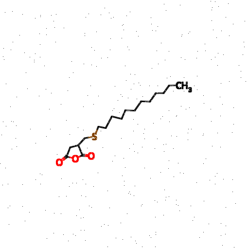 CCCCCCCCCCCCSCC1CC(=O)OC1=O